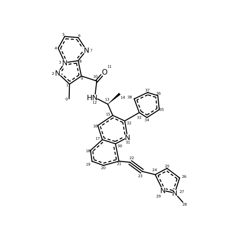 Cc1nn2cccnc2c1C(=O)N[C@@H](C)c1cc2cccc(C#Cc3ccn(C)n3)c2nc1-c1ccccc1